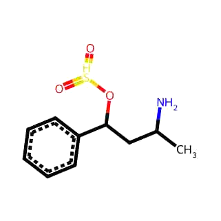 CC(N)CC(O[SH](=O)=O)c1ccccc1